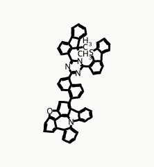 CC1(C)c2ccccc2-c2cccc(-c3nc(-c4cccc5c(-c6cc7oc8cccc9c%10ccccc%10n%10c%11ccccc%11c6c%10c7c89)cccc45)nc(-c4cccc5c4sc4ccccc45)n3)c21